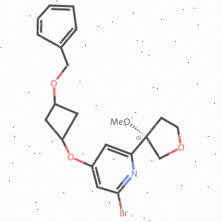 CO[C@]1(c2cc(OC3CC(OCc4ccccc4)C3)cc(Br)n2)CCOC1